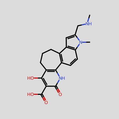 CNCc1cc2c3c(ccc2n1C)-c1[nH]c(=O)c(C(=O)O)c(O)c1CCC3